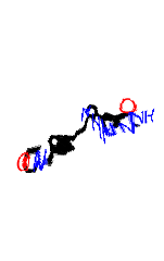 O=c1[nH]cnc2[nH]c(-c3ccnc(CCc4ccc(CN5CCOCC5)cc4)c3)cc12